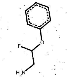 NCC(F)Oc1ccccc1